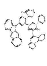 c1ccc(C2N=C(c3cc(-n4c5ccccc5c5cc6ccccc6cc54)cc4oc5ccccc5c34)N=C(c3cc4ccccc4c4ccccc34)N2)cc1